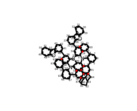 c1ccc(-c2cccc(-c3ccccc3)c2N2c3ccc(-c4cccc5c4oc4ccccc45)cc3B3c4cc(-c5cccc6c5oc5ccccc56)ccc4N(c4c(-c5ccccc5)cccc4-c4ccccc4)c4cc(N5C6CC7CC(C6)CC5C7)cc2c43)cc1